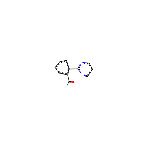 NC(=O)c1ccccc1-c1ncccn1